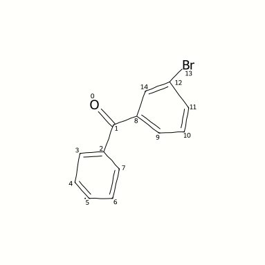 O=C(c1cc[c]cc1)c1cccc(Br)c1